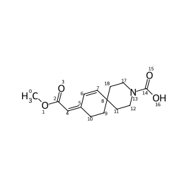 COC(=O)C=C1C=CC2(CC1)CCN(C(=O)O)CC2